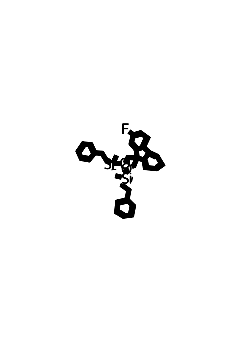 C[Si](C)(CCc1ccccc1)OCC1(CO[Si](C)(C)CCc2ccccc2)c2ccccc2-c2ccc(F)cc21